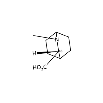 CN1C2CCC(CC2)[C@@H]1C(=O)O